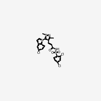 Cc1nn(C)c(-n2ccc3cc(Cl)ccc32)c1C=CC(=O)NS(=O)(=O)c1ccc(Cl)cc1Cl